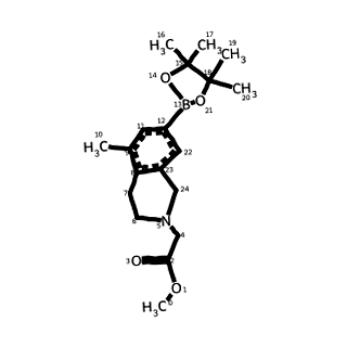 COC(=O)CN1CCc2c(C)cc(B3OC(C)(C)C(C)(C)O3)cc2C1